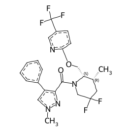 C[C@@H]1CC(F)(F)CN(C(=O)c2nn(C)cc2-c2ccccc2)[C@@H]1COc1ccc(C(F)(F)F)cn1